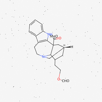 COC(=O)C12C[C@@H]3CC(CCOC=O)C1N(CCc1c2[nH]c2ccccc12)C3